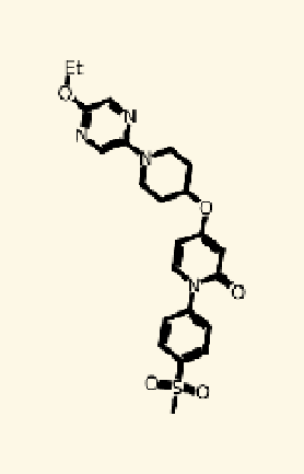 CCOc1cnc(N2CCC(Oc3ccn(-c4ccc(S(C)(=O)=O)cc4)c(=O)c3)CC2)cn1